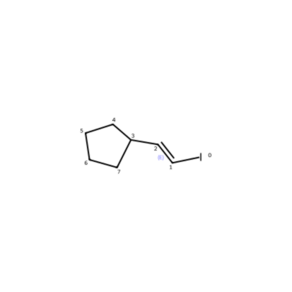 I/C=C/C1CCCC1